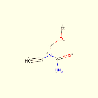 C#CN(COCC)C(N)=O